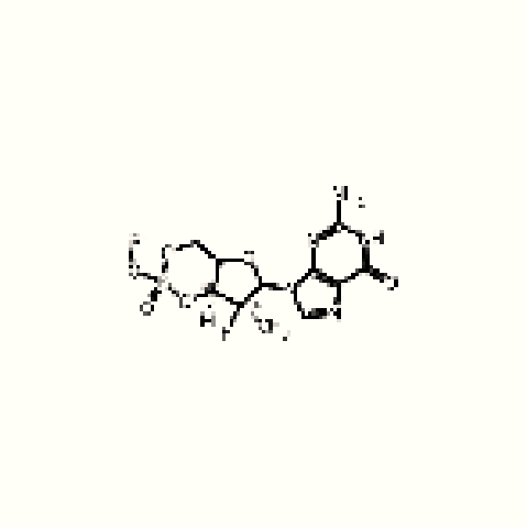 CC(C)OP1(=O)OCC2OC(n3cnc4c(=O)[nH]c(N)nc43)[C@@](C)(F)[C@H]2O1